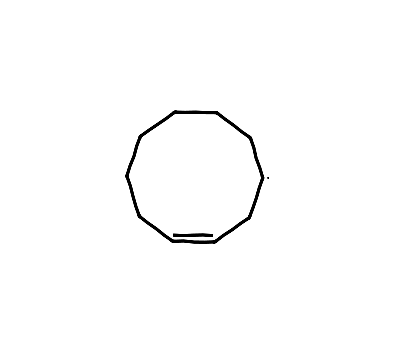 [CH]1CC=CCCCCCC1